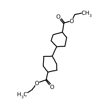 CCOC(=O)C1CCC(C2CCC(C(=O)OCC)CC2)CC1